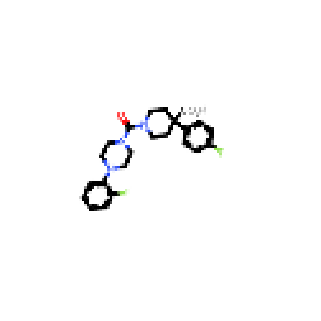 O=C(N1CCN(c2ccccc2F)CC1)N1CCC(C(=O)O)(c2ccc(F)cc2)CC1